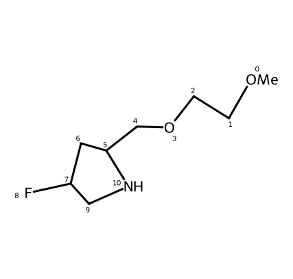 COCCOCC1CC(F)CN1